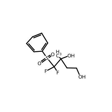 CC(O)(CCO)C(F)(F)S(=O)(=O)c1ccccc1